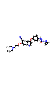 CCN(CC)CCCOc1cc2nccc(Oc3ccc(NC(=O)NC4CC4)c(C)c3)c2cc1C#N